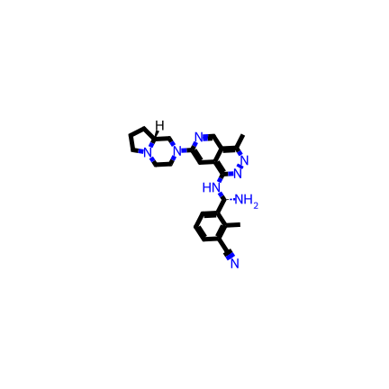 Cc1c(C#N)cccc1[C@@H](N)Nc1nnc(C)c2cnc(N3CCN4CCC[C@@H]4C3)cc12